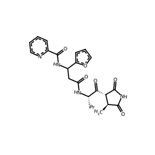 CC(C)[C@H](NC(=O)CC(NC(=O)c1ccccn1)c1ccco1)C(=O)[C@@H]1C(=O)NC(=O)[C@H]1C